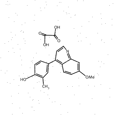 COc1ccc2c(-c3ccc(O)c(C)c3)ccnc2c1.O=C(O)C(=O)O